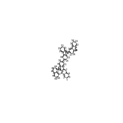 c1ccc2cc3c(cc2c1)c1cc(-c2ccc4c(c2)c2ccccc2n4-c2ccc4sc5ccccc5c4c2)ccc1n3-c1cccc2ccccc12